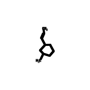 CC=CC1CCCC(C)C1